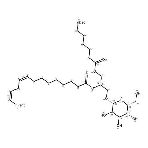 CCCCC/C=C\C/C=C\CCCCCCCC(=O)O[C@H](COC(=O)CCCCCCCCCCCCCCC)CO[C@@H]1O[C@H](CO)[C@H](O)C(O)C1O